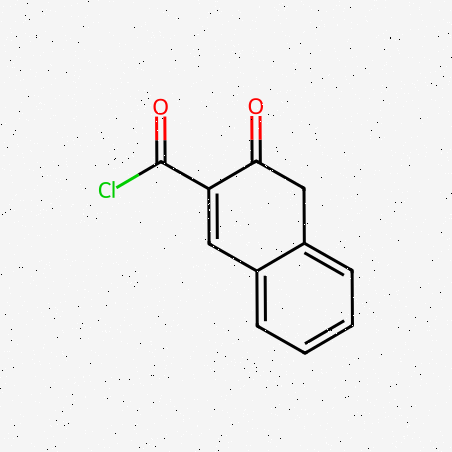 O=C(Cl)C1=Cc2ccccc2CC1=O